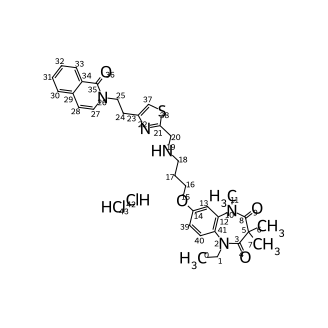 CCN1C(=O)C(C)(C)C(=O)N(C)c2cc(OCCCNCc3nc(CCn4ccc5ccccc5c4=O)cs3)ccc21.Cl.Cl